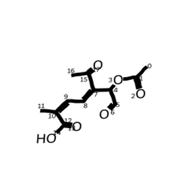 CC(=O)OC(C=O)C(=CC=C(C)C(=O)O)C(C)=O